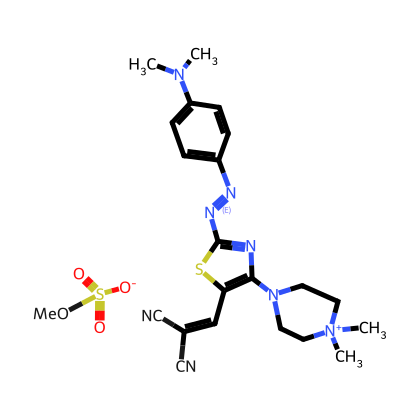 CN(C)c1ccc(/N=N/c2nc(N3CC[N+](C)(C)CC3)c(C=C(C#N)C#N)s2)cc1.COS(=O)(=O)[O-]